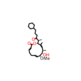 CO[C@H]1/C=C/CC/C=C/C(=O)O[C@H]([C@H](C)C(=O)CCCC2CCCCC2)/C(C)=C\[C@@H](C)[C@@H]1O